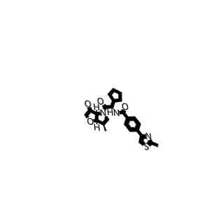 Cc1nc(-c2ccc(C(=O)N[C@H](C(=O)N3C[C@@H](C)[C@H]4OCC(=O)[C@H]43)C3CCCC3)cc2)cs1